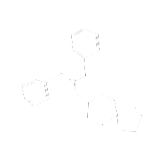 c1ccc(CN(Cc2ccccc2)CC2CCC3(CC2)OCCO3)cc1